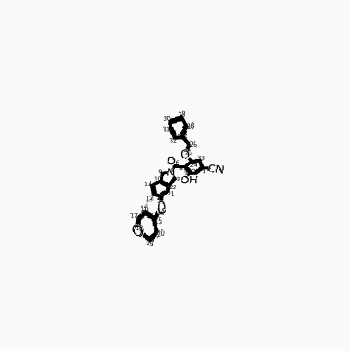 N#Cc1cc(O)c(C(=O)N2Cc3ccc(OC4CCOCC4)cc3C2)c(OCc2ccccc2)c1